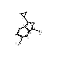 CCc1nn(C2CC2)c2ccc(N)cc12